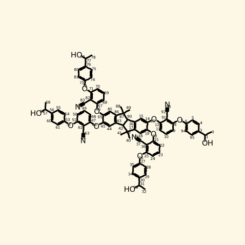 CC(O)c1ccc(Oc2cccc(Oc3cc4c(cc3Oc3cccc(Oc5ccc(C(C)O)cc5)c3C#N)C(C)(C)C3c5cc(Oc6cccc(Oc7ccc(C(C)O)cc7)c6C#N)c(Oc6cccc(Oc7ccc(C(C)O)cc7)c6C#N)cc5C(C)(C)C43)c2C#N)cc1